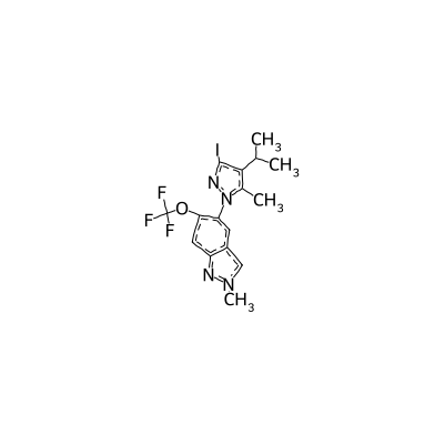 Cc1c(C(C)C)c(I)nn1-c1cc2cn(C)nc2cc1OC(F)(F)F